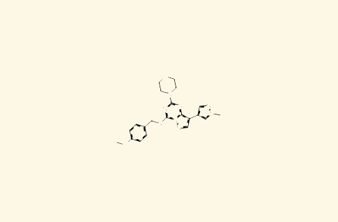 COc1ccc(CNc2nc(N3CCOCC3)nc3c(-c4cnn(C)c4)cnn23)cc1